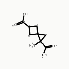 NC1(C(=O)O)CC12CC(C(=O)O)C2